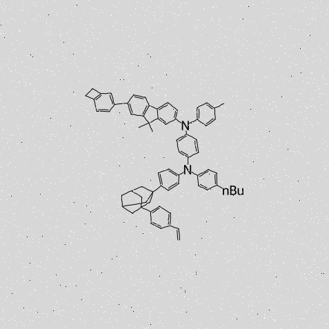 C=Cc1ccc(C23CC4CC(C2)CC(c2ccc(N(c5ccc(CCCC)cc5)c5ccc(N(c6ccc(C)cc6)c6ccc7c(c6)C(C)(C)c6cc(-c8ccc9c(c8)CC9)ccc6-7)cc5)cc2)(C4)C3)cc1